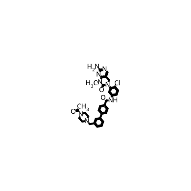 CC(=O)N1CCN(Cc2cccc(-c3ccc(C(=O)Nc4ccc(Cl)c(N5Cc6cnc(N)nc6N(C)C5=O)c4)cc3)c2)CC1